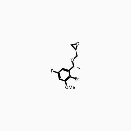 COc1cc(F)cc([C@@H](C)OC[C@H]2CO2)c1Br